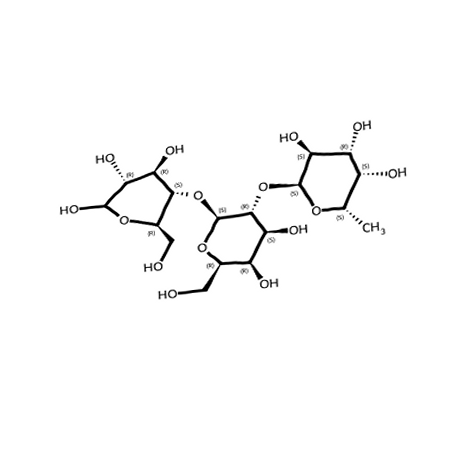 C[C@@H]1O[C@@H](O[C@H]2[C@H](O[C@H]3[C@H](O)[C@@H](O)C(O)O[C@@H]3CO)O[C@H](CO)[C@H](O)[C@@H]2O)[C@@H](O)[C@H](O)[C@@H]1O